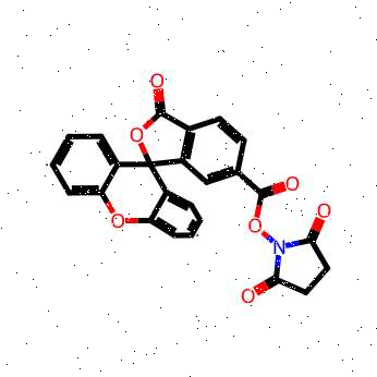 O=C(ON1C(=O)CCC1=O)c1ccc2c(c1)C1(OC2=O)c2cc[c]cc2Oc2c[c]ccc21